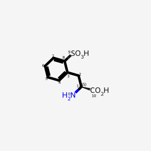 N[C@@H](Cc1ccccc1S(=O)(=O)O)C(=O)O